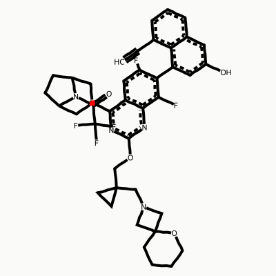 C#Cc1cccc2cc(O)cc(-c3c(F)cc4c(N5CC6CCC(C5)N6C(=O)C(F)(F)F)nc(OCC5(CN6CC7(CCCCO7)C6)CC5)nc4c3F)c12